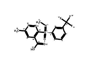 CN=[S@](=O)(c1cccc(C(F)(F)F)c1)c1nnc(C)cc1C(=O)O